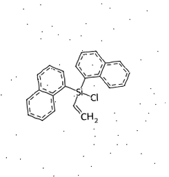 C=C[Si](Cl)(c1cccc2ccccc12)c1cccc2ccccc12